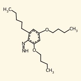 CCCCCc1cc(OCCCC)cc(OCCCC)c1N=N